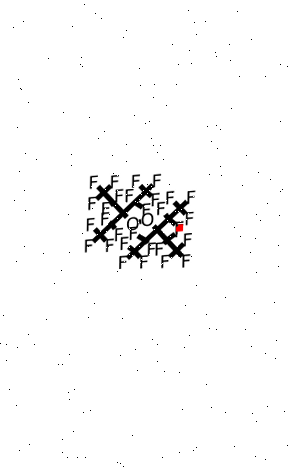 FC(F)(F)C(F)(F)C(OOC(C(F)(F)C(F)(F)F)(C(F)(F)C(F)(F)F)C(F)(F)C(F)(F)F)(C(F)(F)C(F)(F)F)C(F)(F)C(F)(F)F